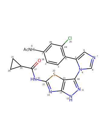 CC(=O)Nc1ccc(-c2cncn2-c2n[nH]c3nc(NC(=O)C4CC4)sc23)c(Cl)c1